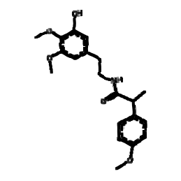 COc1ccc(C(C)C(=O)NCCc2cc(O)c(OC)c(OC)c2)cc1